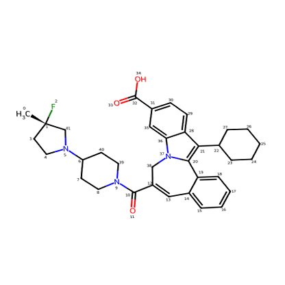 C[C@]1(F)CCN(C2CCN(C(=O)C3=Cc4ccccc4-c4c(C5CCCCC5)c5ccc(C(=O)O)cc5n4C3)CC2)C1